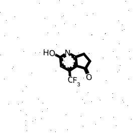 O=C1CCc2nc(O)cc(C(F)(F)F)c21